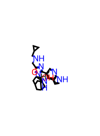 O[C@]12CC3CC(C1)[C@H](Nc1c(-c4noc(CNCC5CC5)n4)cnc4[nH]ccc14)C(C3)C2